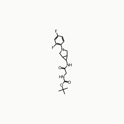 CC(C)(C)OC(=O)NCC(=O)NC1C2CN(c3ccc(F)cc3F)CC21